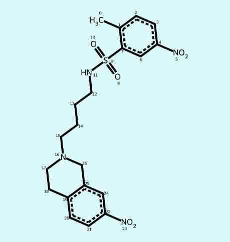 Cc1ccc([N+](=O)[O-])cc1S(=O)(=O)NCCCCN1CCc2ccc([N+](=O)[O-])cc2C1